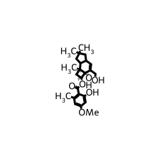 COc1cc(C)c(C(=O)O[C@@H]2C[C@]3(C)C4CC(C)(C)CC4C=C(CO)[C@]23O)c(O)c1